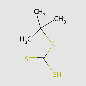 CC(C)(C)SC(=S)S